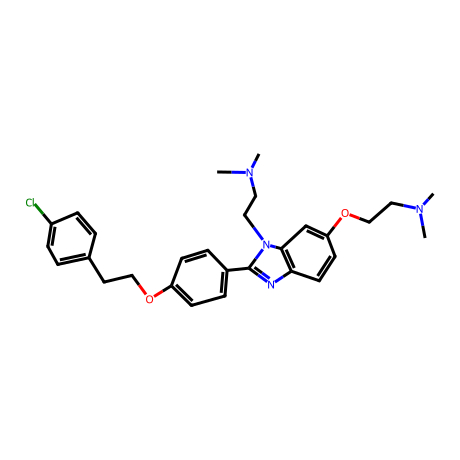 CN(C)CCOc1ccc2nc(-c3ccc(OCCc4ccc(Cl)cc4)cc3)n(CCN(C)C)c2c1